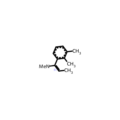 C/C=C(/NC)c1cccc(C)c1C